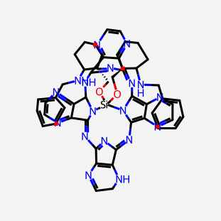 C1=NC2=C(NC1)/C1=N/c3c4nccnc4c4n3[Si](OC[C@H]3CCCCC3NCc3ccccc3)(OC[C@H]3CCCCC3NCc3ccccc3)N3/C(=N\C2=N1)c1nccnc1C3NC1=N/C(=N\4)c2nccnc21